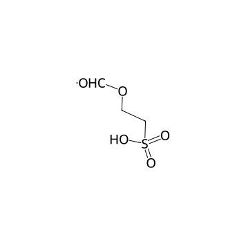 O=[C]OCCS(=O)(=O)O